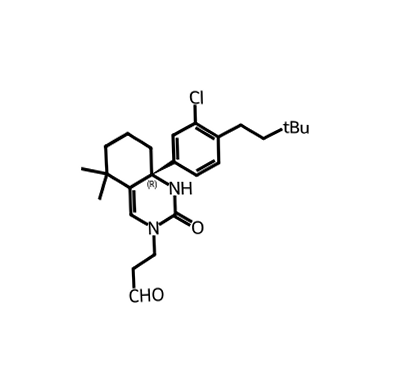 CC(C)(C)CCc1ccc([C@]23CCCC(C)(C)C2=CN(CCC=O)C(=O)N3)cc1Cl